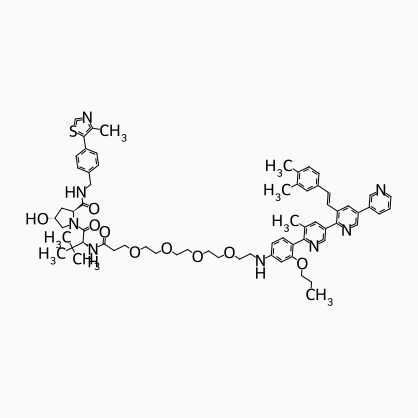 CCCOc1cc(NCCOCCOCCOCCOCCC(=O)N[C@H](C(=O)N2C[C@H](O)C[C@H]2C(=O)NCc2ccc(-c3scnc3C)cc2)C(C)(C)C)ccc1-c1ncc(-c2ncc(-c3cccnc3)cc2/C=C/c2ccc(C)c(C)c2)cc1C